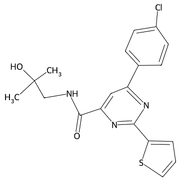 CC(C)(O)CNC(=O)c1cc(-c2ccc(Cl)cc2)nc(-c2cccs2)n1